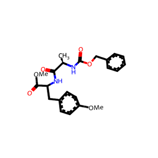 COC(=O)C(Cc1ccc(OC)cc1)NC(=O)[C@@H](C)NC(=O)OCc1ccccc1